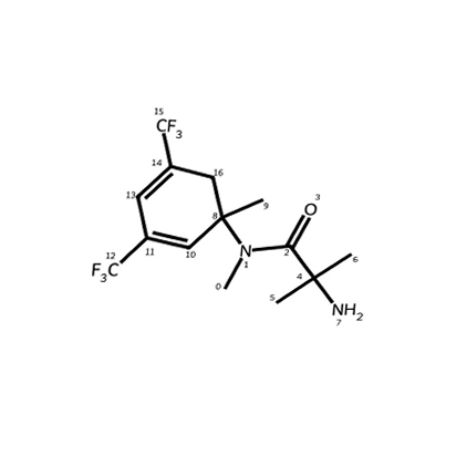 CN(C(=O)C(C)(C)N)C1(C)C=C(C(F)(F)F)C=C(C(F)(F)F)C1